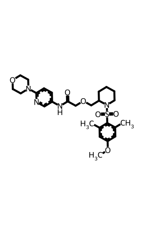 COc1cc(C)c(S(=O)(=O)N2CCCCC2COCC(=O)Nc2ccc(N3CCOCC3)nc2)c(C)c1